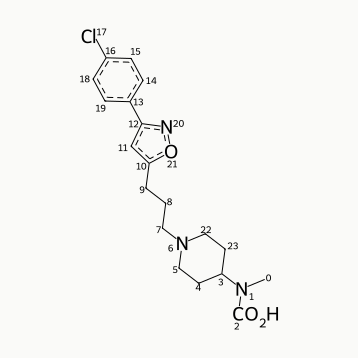 CN(C(=O)O)C1CCN(CCCc2cc(-c3ccc(Cl)cc3)no2)CC1